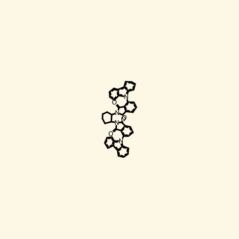 O=C1c2cccc(-n3c4ccccc4c4ccccc43)c2C(=O)N1C1CCCCC1N1C(=O)c2cccc(-n3c4ccccc4c4ccccc43)c2C1=O